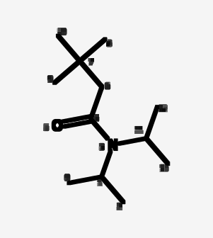 CC(C)N(C(=O)CC(C)(C)C)C(C)C